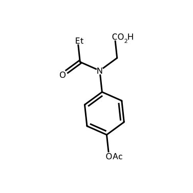 CCC(=O)N(CC(=O)O)c1ccc(OC(C)=O)cc1